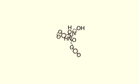 COc1ccc(OCCC(=O)N[C@H](CN2CCC(O)C2)[C@H](O)c2ccc3c(c2)OCCO3)cc1